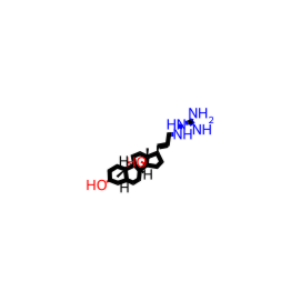 C[C@]12CC[C@H](O)C[C@H]1CC[C@@H]1[C@@H]2CC[C@]2(C)[C@@H](/C=C/CNNC(=N)N)CC[C@]12O